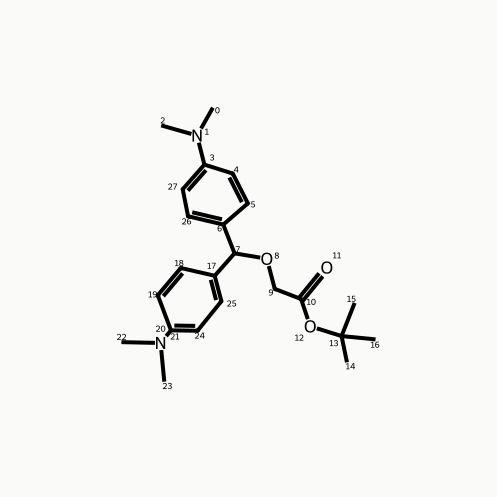 CN(C)c1ccc(C(OCC(=O)OC(C)(C)C)c2ccc(N(C)C)cc2)cc1